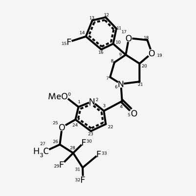 COc1nc(C(=O)N2CCC3(c4cccc(F)c4)OCOC3C2)ccc1OC(C)C(F)(F)C(F)F